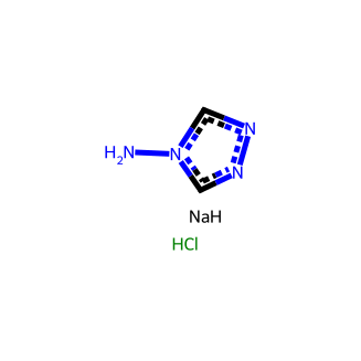 Cl.Nn1cnnc1.[NaH]